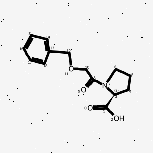 O=C(O)[C@@H]1CCCN1C(=O)COCc1ccccc1